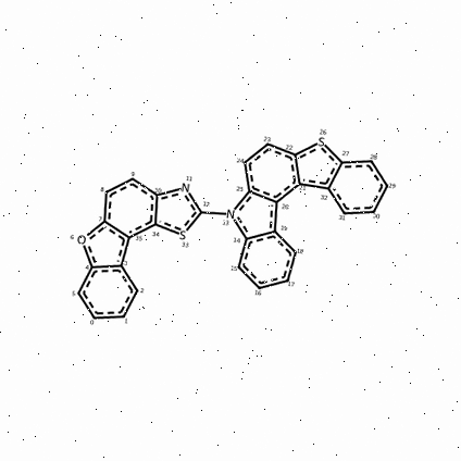 c1ccc2c(c1)oc1ccc3nc(-n4c5ccccc5c5c6c(ccc54)sc4ccccc46)sc3c12